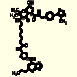 CCCc1cc(N[C@@H]2CCC(NC(=O)CCCCCCN[C@H](C(=O)C3C[C@H](O)C[C@H]3C(=O)NCc3ccc(-c4scnc4C)cc3)C(C)(C)C)C2)n2nccc2n1